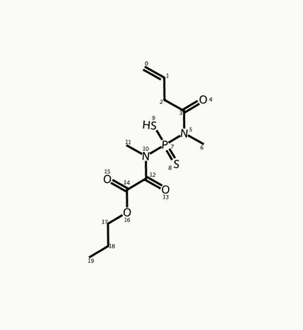 C=CCC(=O)N(C)P(=S)(S)N(C)C(=O)C(=O)OCCC